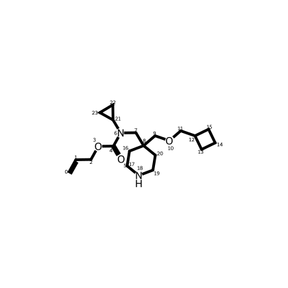 C=CCOC(=O)N(CC1(COCC2CCC2)CCNCC1)C1CC1